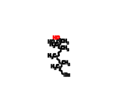 CCC(C)CCC=C(C)CC(C)C=CCC(C)C=CCC(C)C=C(C)CC(C)(CO)C(=O)O